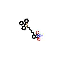 O=C1NC(=O)c2c(CCCCCCSC(c3ccccc3)(c3ccccc3)c3ccccc3)cccc21